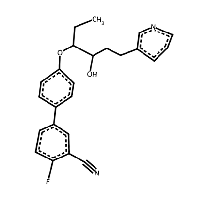 CCC(Oc1ccc(-c2ccc(F)c(C#N)c2)cc1)C(O)CCc1cccnc1